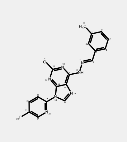 Cc1cccc(C=NNc2nc(Cl)nc3c2ncn3-c2ccc(F)cn2)c1